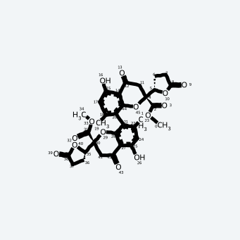 COC(=O)[C@]1([C@@H]2CCC(=O)O2)CC(=O)c2c(O)cc(C)c(-c3c(C)cc(O)c4c3O[C@@](C(=O)OC)([C@@H]3CCC(=O)O3)CC4=O)c2O1